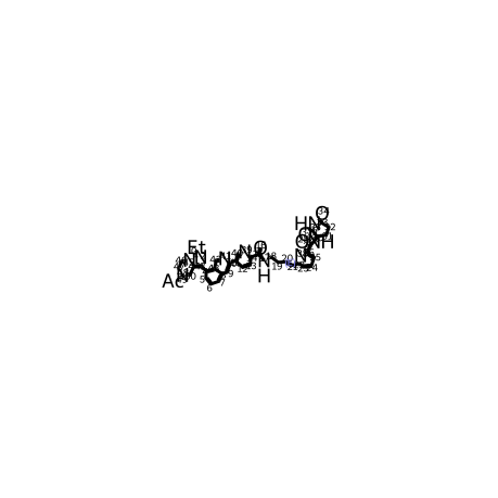 CCc1nc(-c2cccc3cc(-c4ccc(C(=O)NCC/C=C/c5cccc(C(=O)NC6CCC(=O)NC6=O)n5)nc4)ncc23)c2n1CCN(C(C)=O)C2